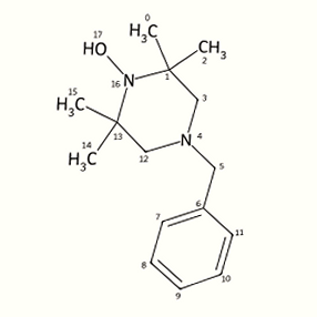 CC1(C)CN(Cc2ccccc2)CC(C)(C)N1O